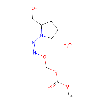 CC(C)OC(=O)OCO/N=N\N1CCCC1CO.O